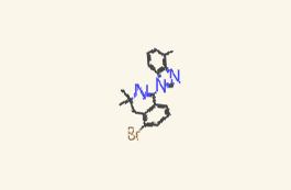 Cc1cccc2c1ncn2C1=NC(C)(C)Cc2c(Br)cccc21